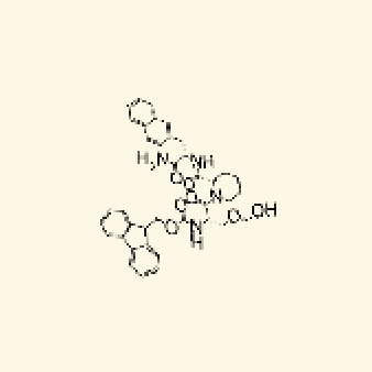 NC(=O)[C@H](Cc1ccc2ccccc2c1)NC(=O)[C@@H]1CCCCN1C(=O)[C@H](COCO)NC(=O)OCC1c2ccccc2-c2ccccc21